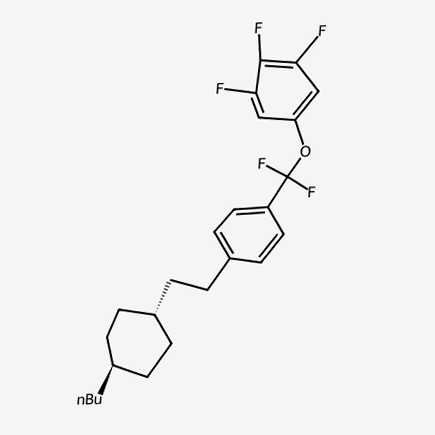 CCCC[C@H]1CC[C@H](CCc2ccc(C(F)(F)Oc3cc(F)c(F)c(F)c3)cc2)CC1